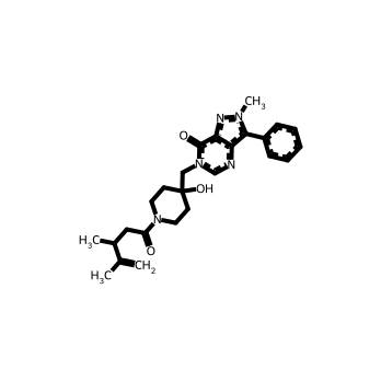 C=C(C)C(C)CC(=O)N1CCC(O)(Cn2cnc3c(-c4ccccc4)n(C)nc3c2=O)CC1